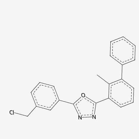 Cc1c(-c2ccccc2)cccc1-c1nnc(-c2cccc(CCl)c2)o1